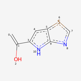 C=C(O)c1cc2scnc2[nH]1